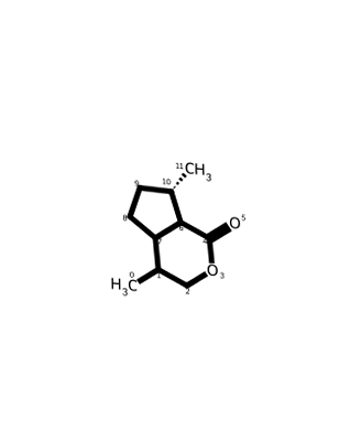 CC1COC(=O)C2C1CC[C@@H]2C